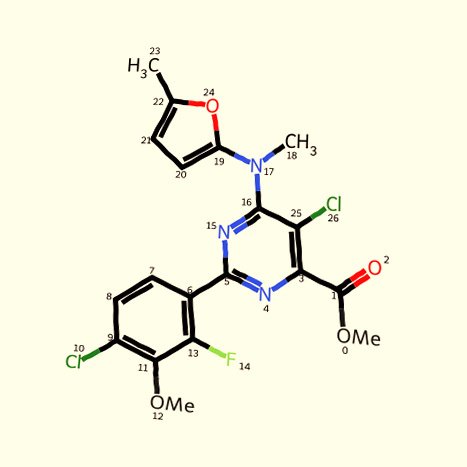 COC(=O)c1nc(-c2ccc(Cl)c(OC)c2F)nc(N(C)c2ccc(C)o2)c1Cl